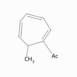 CC(=O)C1=CC=CC=CC1C